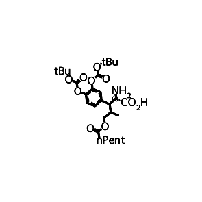 CCCCCC(=O)OCC(C)C(c1ccc(OC(=O)OC(C)(C)C)c(OC(=O)OC(C)(C)C)c1)[C@H](N)C(=O)O